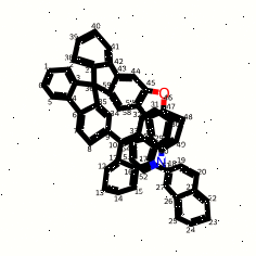 c1ccc2c(c1)-c1ccc(-c3c4ccccc4c(-c4ccc5ccccc5c4)c4ccccc34)cc1C21c2ccccc2-c2cc3oc4ccc5ncccc5c4c3cc21